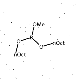 CCCCCCCCOB(OC)OCCCCCCCC